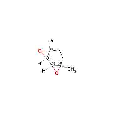 CC(C)[C@]12CC[C@@]3(C)O[C@H]3[C@H]1O2